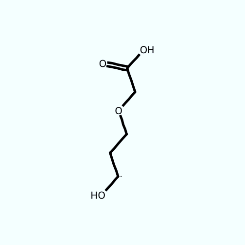 O=C(O)COCC[CH]O